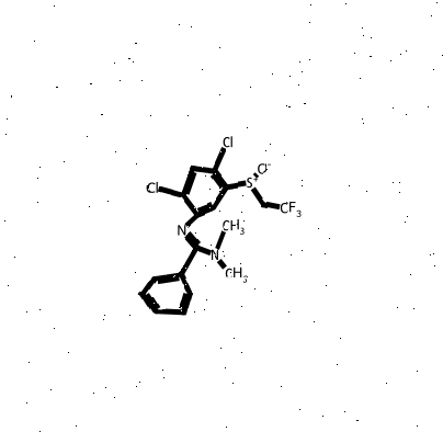 CN(C)/C(=N\c1cc([S+]([O-])CC(F)(F)F)c(Cl)cc1Cl)c1ccccc1